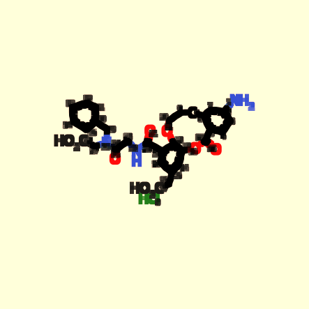 Cl.Nc1ccc2c(c1)CCCOc1c(cc(CC(=O)O)cc1C(=O)NCC(=O)N(CC(=O)O)Cc1ccccc1)OC2=O